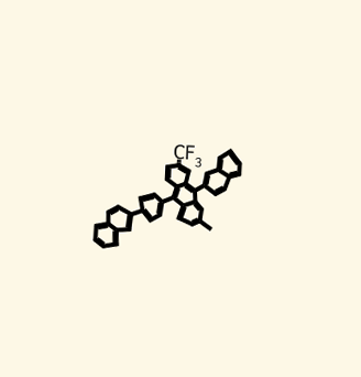 Cc1ccc2c(-c3ccc(-c4ccc5ccccc5c4)cc3)c3ccc(C(F)(F)F)cc3c(-c3ccc4ccccc4c3)c2c1